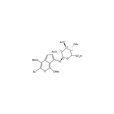 COc1oc(C(C)=O)c(OC)c2ccc(O[C@@H]3OC(S(=O)(=O)O)[C@@H](OC(C)=O)[C@H](OC(C)=O)[C@H]3OC(C)=O)c1-2